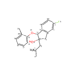 C[AsH]CC1(O)Cc2cc(F)ccc2C1Oc1ccccc1C